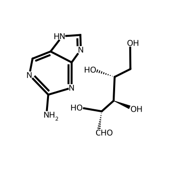 Nc1ncc2[nH]cnc2n1.O=C[C@H](O)[C@H](O)[C@H](O)CO